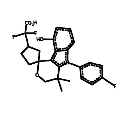 CC1(C)COC2(CCC(C(F)(F)C(=O)O)C2)c2c1n(-c1ccc(F)cc1)c1cccc(O)c21